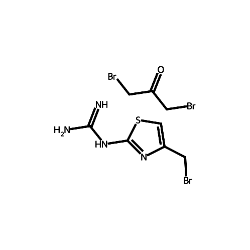 N=C(N)Nc1nc(CBr)cs1.O=C(CBr)CBr